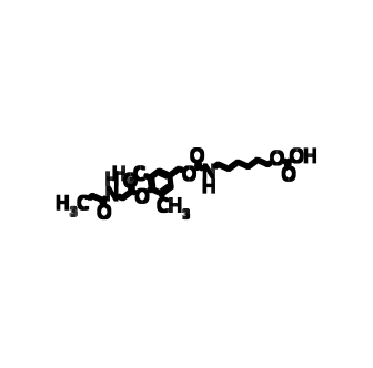 CCC(=O)NCC(=O)Oc1c(C)cc(COC(=O)NCCCCCCOC(=O)O)cc1C